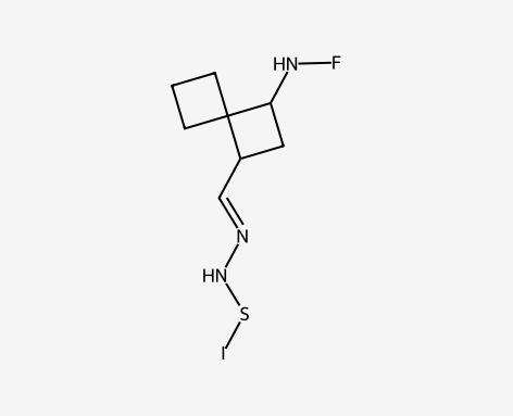 FNC1CC(/C=N/NSI)C12CCC2